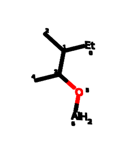 CCC(C)C(C)[O][AlH2]